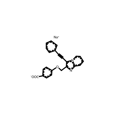 O=C([O-])c1ccc(OCc2nc3ccccn3c2C#Cc2ccccc2)cc1.[Na+]